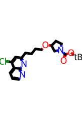 CC(C)(C)OC(=O)N1CCC(OCCCCc2cc(Cl)c3cccnc3n2)C1